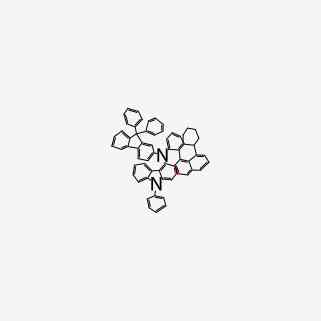 c1ccc(-n2c3ccccc3c3c(N(c4ccc5c(c4)C(c4ccccc4)(c4ccccc4)c4ccccc4-5)c4ccccc4-c4cccc5cccc(C6CCCCC6)c45)cccc32)cc1